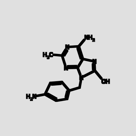 Cc1nc(N)c2nc(O)n(Cc3ccc(N)cc3)c2n1